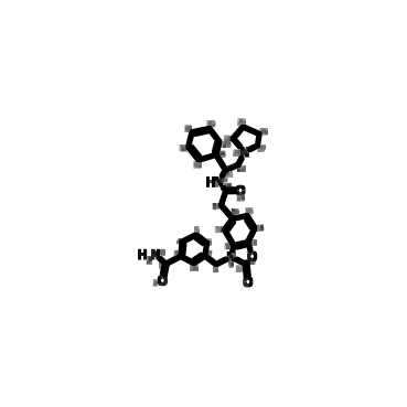 NC(=O)c1cccc(Cn2c(=O)oc3ccc(CC(=O)NC(CN4CCCC4)c4ccccc4)cc32)c1